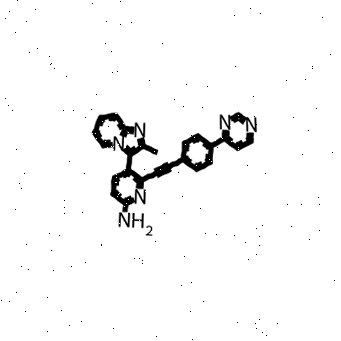 Cc1nc2ccccn2c1-c1ccc(N)nc1C#Cc1ccc(-c2ccncn2)cc1